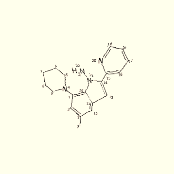 Cc1cc(N2CCCCC2)c2c(c1)cc(-c1ccccn1)n2N